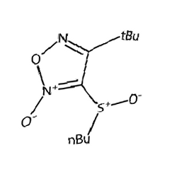 CCCC[S+]([O-])c1c(C(C)(C)C)no[n+]1[O-]